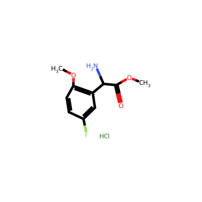 COC(=O)C(N)c1cc(F)ccc1OC.Cl